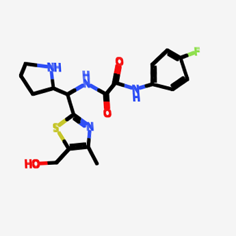 Cc1nc(C(NC(=O)C(=O)Nc2ccc(F)cc2)C2CCCN2)sc1CO